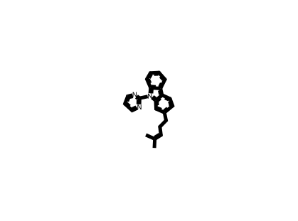 CC(C)=CCCc1ccc2c3ccccc3n(-c3ncccn3)c2c1